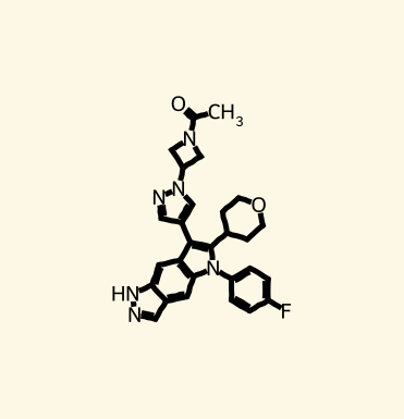 CC(=O)N1CC(n2cc(-c3c(C4CCOCC4)n(-c4ccc(F)cc4)c4cc5cn[nH]c5cc34)cn2)C1